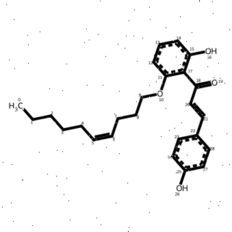 CCCCC/C=C\CCCOc1cccc(O)c1C(=O)/C=C/c1ccc(O)cc1